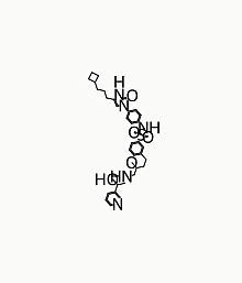 O=c1[nH]c(CCCC2CCC2)cn1-c1ccc(NS(=O)(=O)c2ccc3c(c2)CCC(CNCC(O)c2cccnc2)O3)cc1